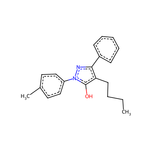 CCCCc1c(-c2ccccc2)nn(-c2ccc(C)cc2)c1O